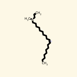 C=CCN(C)CCCCCCCCC/C=C\CCCCCCCC